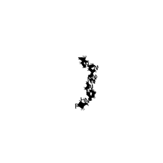 FC12CC(CNCc3ccc4nc(Cn5cc(-c6cncc(N7CCC8(CC8)C7)c6)nn5)cn4c3)(C1)C2